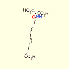 O=C(O)CCCCCCCCC#CC#CCCCCCCCCC(=O)N[C@H](CCC(=O)O)C(=O)O